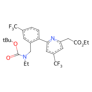 CCOC(=O)Cc1cc(C(F)(F)F)cc(-c2ccc(C(F)(F)F)cc2CN(CC)C(=O)OC(C)(C)C)n1